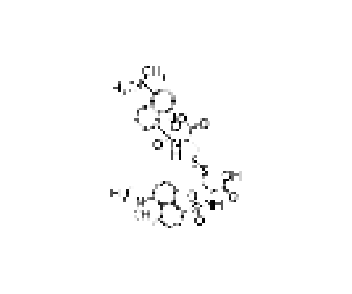 CN(C)c1cccc2c(S(=O)(=O)N[C@@H](CSSC[C@H](NS(=O)(=O)c3cccc4c(N(C)C)cccc34)C(=O)O)C(=O)O)cccc12